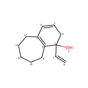 C=CC1(O)CC=CC2=C1CCCCC2